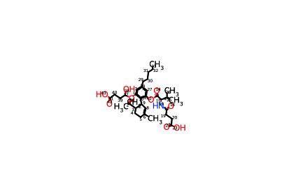 C=C(C)C1CCC(C)=CC1c1c(OC(=O)[C@@H](NC(=O)CCC(=O)O)C(C)C)cc(CCCCC)cc1OC(O)CCC(=O)O